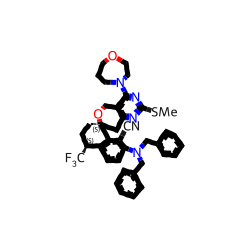 CSc1nc2c(c(N3CCCOCC3)n1)CO[C@@]1(CC[C@H](C(F)(F)F)c3ccc(N(Cc4ccccc4)Cc4ccccc4)c(C#N)c31)C2